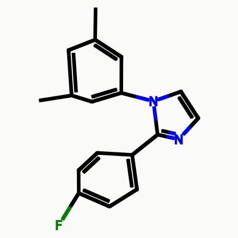 Cc1cc(C)cc(-n2ccnc2-c2ccc(F)cc2)c1